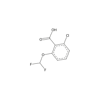 O=C(O)c1c(Cl)cccc1OC(F)F